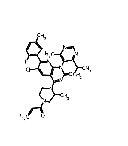 C=CC(=O)N1CCN(c2nc(=O)n(-c3c(C)ncnc3C(C)C)c3nc(-c4cc(C)ccc4F)c(Cl)cc23)[C@@H](C)C1